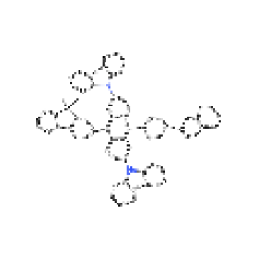 CC1(C)c2ccccc2-c2ccc(-c3c4ccc(-n5c6ccccc6c6ccccc65)cc4c(-c4ccc(-c5ccc6ccccc6c5)cc4)c4ccc(-n5c6ccccc6c6ccccc65)cc34)cc21